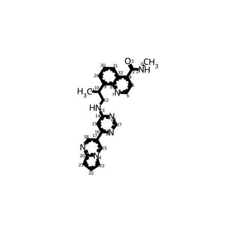 CNC(=O)c1ccnc2c(C(C)CNc3cc(-c4cnc5cccn5c4)ncn3)cccc12